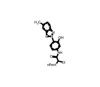 CCCCCC(CC)C(=O)Nc1ccc(-n2nc3ccc(C)cc3n2)c(O)c1